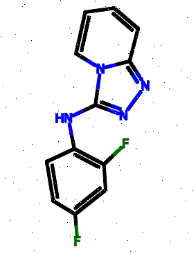 Fc1ccc(Nc2nnc3ccccn23)c(F)c1